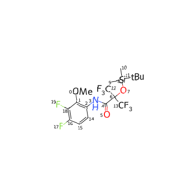 COc1c(NC(=O)C(O[Si](C)(C)C(C)(C)C)(C(F)(F)F)C(F)(F)F)ccc(F)c1F